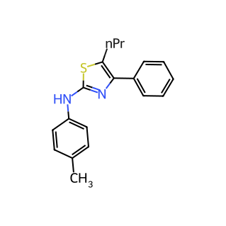 CCCc1sc(Nc2ccc(C)cc2)nc1-c1ccccc1